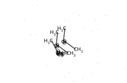 CCCCCCCCCCCCCCCCCC(=O)O.CCCCCCCCCCCCCCCCCC(=O)OC(=O)CCCCCCCCCCCCCCCCC.CCCCCCCCCCCCCCCCCC(=O)OC(=O)CCCCCCCCCCCCCCCCC.[Ca+2].[K+].[Mg+2].[Na+]